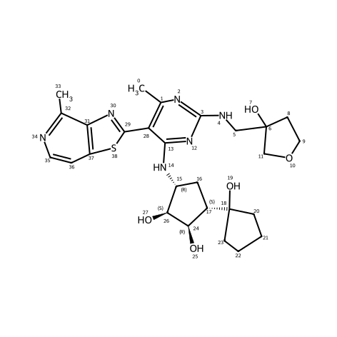 Cc1nc(NCC2(O)CCOC2)nc(N[C@@H]2C[C@H](C3(O)CCCC3)[C@@H](O)[C@H]2O)c1-c1nc2c(C)nccc2s1